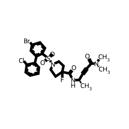 C[C@H](C#CC(=O)N(C)C)NC(=O)C1(F)CCN(S(=O)(=O)c2ccc(Br)cc2-c2ccccc2Cl)CC1